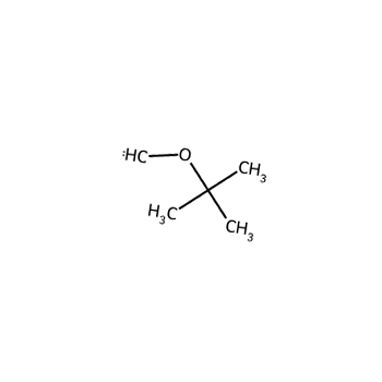 [CH]OC(C)(C)C